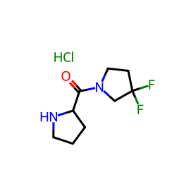 Cl.O=C(C1CCCN1)N1CCC(F)(F)C1